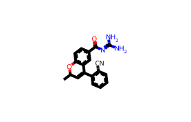 CC1C=C(c2ccccc2C#N)c2cc(C(=O)N=C(N)N)ccc2O1